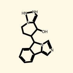 OC1C2=CNNN2CCC1C1c2ccccc2-c2cncn21